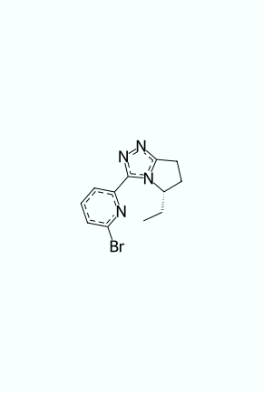 CC[C@H]1CCc2nnc(-c3cccc(Br)n3)n21